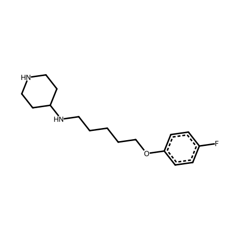 Fc1ccc(OCCCCCNC2CCNCC2)cc1